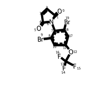 O=C1C=CC(=O)N1c1c(Br)cc(OC(F)(F)F)cc1Br